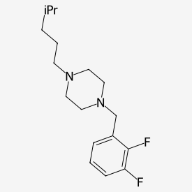 CC(C)CCCN1CCN(Cc2cccc(F)c2F)CC1